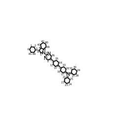 c1ccc(-c2cn(-c3ncc(-c4ccc(-c5ccc(N(c6ccccc6)c6ccccc6)cc5)cc4)cn3)c3ccccc23)cc1